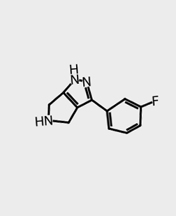 Fc1cccc(-c2n[nH]c3c2CNC3)c1